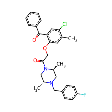 Cc1cc(OCC(=O)N2C[C@@H](C)N(Cc3ccc(F)cc3)C[C@@H]2C)c(C(=O)c2ccccc2)cc1Cl